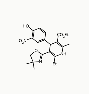 CCOC(=O)C1=C(C)NC(CC)=C(C2=NC(C)(C)CO2)C1c1ccc(O)c([N+](=O)[O-])c1